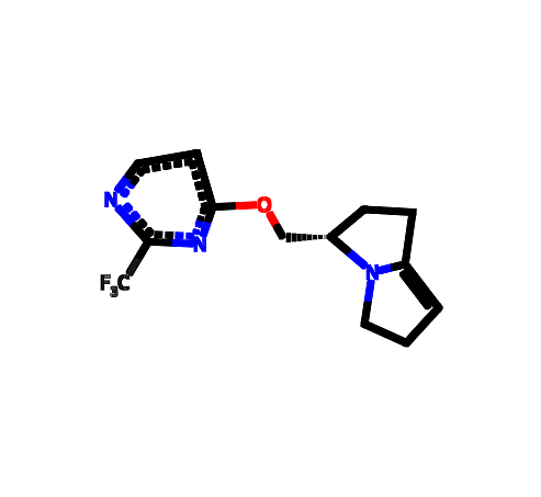 FC(F)(F)c1nccc(OC[C@@H]2CCC3=CCCN32)n1